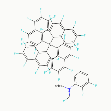 CCCCCC[NH+](CF)c1cccc(F)c1F.Fc1cc2[c]([Al-]([c]3c(F)c(F)c(F)c4c(F)c(F)c(F)cc34)([c]3c(F)c(F)c(F)c4c(F)c(F)c(F)cc34)[c]3c(F)c(F)c(F)c4c(F)c(F)c(F)cc34)c(F)c(F)c(F)c2c(F)c1F